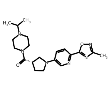 Cc1noc(-c2ccc(N3CC[C@H](C(=O)N4CCN(C(C)C)CC4)C3)cn2)n1